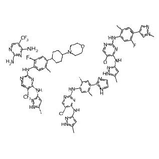 Cc1cc(Nc2nc(Nc3cc(C)c(-c4ncc[nH]4)cc3C)ncc2Cl)n[nH]1.Cc1cc(Nc2nc(Nc3cc(C)c(C4CCC(N5CCOCC5)CC4)cc3F)ncc2C(F)(F)F)n[nH]1.Cc1cc(Nc2nc(Nc3cc(F)c(-c4cnn(C)c4)cc3C)ncc2Cl)n[nH]1.Nc1ncc(C(F)(F)F)c(N)n1